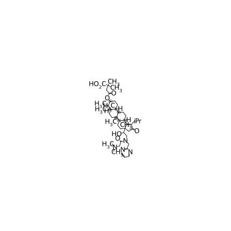 CC(C)C1=C2[C@H]3CC[C@@H]4[C@@]5(C)CC[C@H](OC(=O)CC(C)(C)C(=O)O)C(C)(C)[C@@H]5CC[C@@]4(C)[C@]3(C)CCC2(C(O)CN(Cc2ncccn2)C(=O)CN(C)C)CC1=O